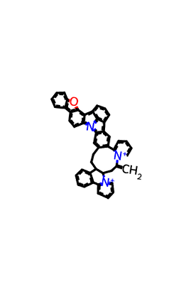 C=C1CC2C(CCc3cc4c(cc3-c3cccc[n+]31)c1cccc3c5c6oc7ccccc7c6ccc5n4c13)c1ccccc1-c1cccc[n+]12